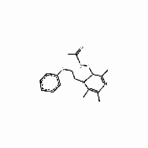 CC(=O)NOC1C(C)=NC(C)=C(C)N1CCSc1ccccc1